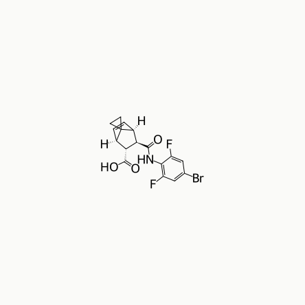 O=C(O)[C@H]1[C@H](C(=O)Nc2c(F)cc(Br)cc2F)[C@@H]2C=C[C@H]1C21CC1